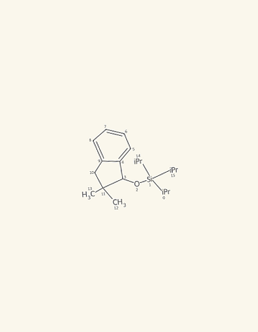 CC(C)[Si](OC1c2ccccc2CC1(C)C)(C(C)C)C(C)C